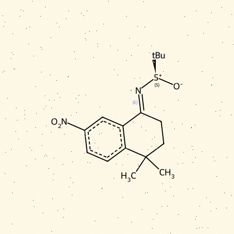 CC1(C)CC/C(=N\[S@+]([O-])C(C)(C)C)c2cc([N+](=O)[O-])ccc21